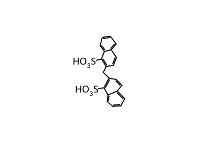 O=S(=O)(O)c1c(Cc2ccc3ccccc3c2S(=O)(=O)O)ccc2ccccc12